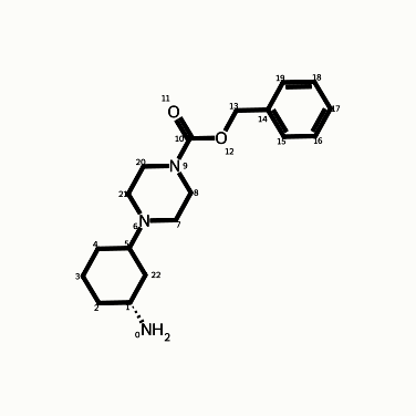 N[C@@H]1CCCC(N2CCN(C(=O)OCc3ccccc3)CC2)C1